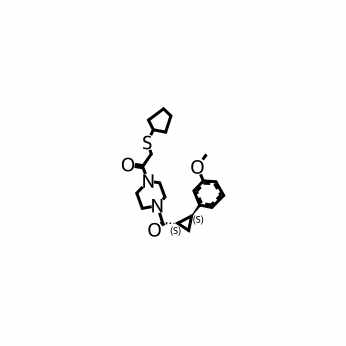 COc1cccc([C@H]2C[C@@H]2C(=O)N2CCN(C(=O)CSC3CCCC3)CC2)c1